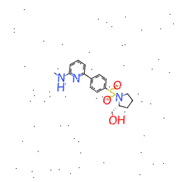 CNc1cccc(-c2ccc(S(=O)(=O)N3CCC[C@@H]3CO)cc2)n1